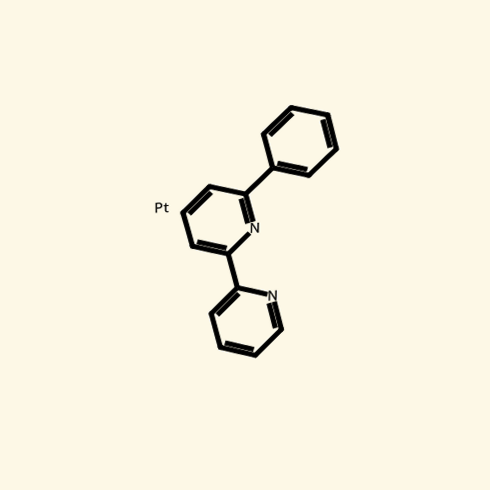 [Pt].c1ccc(-c2cccc(-c3ccccn3)n2)cc1